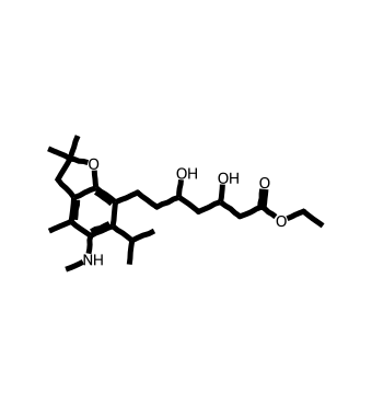 CCOC(=O)CC(O)CC(O)CCc1c2c(c(C)c(NC)c1C(C)C)CC(C)(C)O2